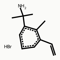 Br.C=Cc1cccc(C(C)(C)N)c1C